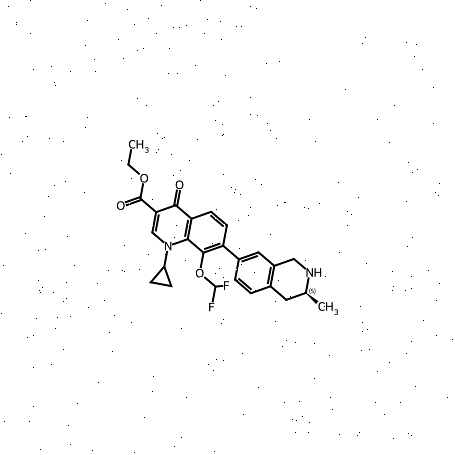 CCOC(=O)c1cn(C2CC2)c2c(OC(F)F)c(-c3ccc4c(c3)CN[C@@H](C)C4)ccc2c1=O